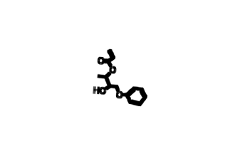 C=CC(=O)OC(C)C(O)COc1ccccc1